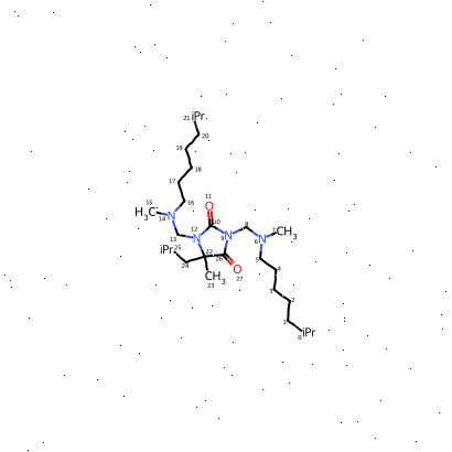 CC(C)CCCCCN(C)CN1C(=O)N(CN(C)CCCCCC(C)C)C(C)(CC(C)C)C1=O